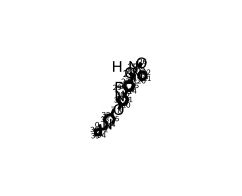 CC1(CN2CCC(COc3ccc(-c4ccc(C(=O)N5CCC[C@H]5C(N)=O)cc4F)nc3)CC2)CCC1